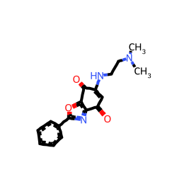 CN(C)CCNC1=CC(=O)c2nc(-c3ccccc3)oc2C1=O